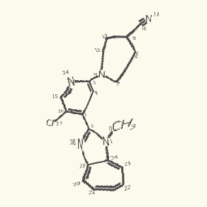 Cn1c(-c2cc(N3CCC(C#N)CC3)ncc2Cl)nc2ccccc21